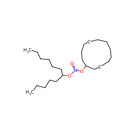 CCCCCCC(CCCCC)O[N+](=O)OC1CCCCCCCCCCC1